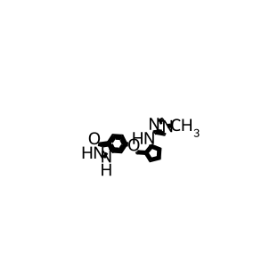 Cn1cnc(NC2CCCC2COc2ccc3c(=O)[nH][nH]c3c2)c1